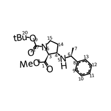 COC(=O)[C@@H]1[C@H](N[C@@H](C)c2ccccc2)CCN1C(=O)OC(C)(C)C